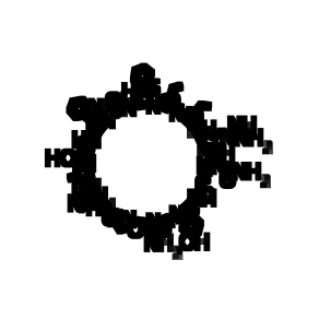 CCCC[C@H]1C(=O)N(C)[C@@H](CCCC)C(=O)N[C@@H](CCCNC(=N)N)C(=O)N[C@H](C(=O)NCC(N)=O)CSCC(=O)N[C@@H](Cc2ccc(O)cc2)C(=O)N(C)[C@@H](C)C(=O)N[C@@H](CC(N)=O)C(=O)N2CCC[C@H]2C(=O)N[C@@H](Cc2cnc[nH]2)C(=O)N[C@@H](CC(C)C)C(=O)N2C[C@H](O)C[C@H]2C(=O)N[C@@H](Cc2c[nH]c3ccccc23)C(=O)N[C@@H](CO)C(=O)N[C@@H](Cc2csc3ccccc23)C(=O)N1C